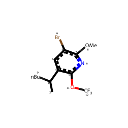 CCCCC(C)c1cc(Br)c(OC)nc1OC(F)(F)F